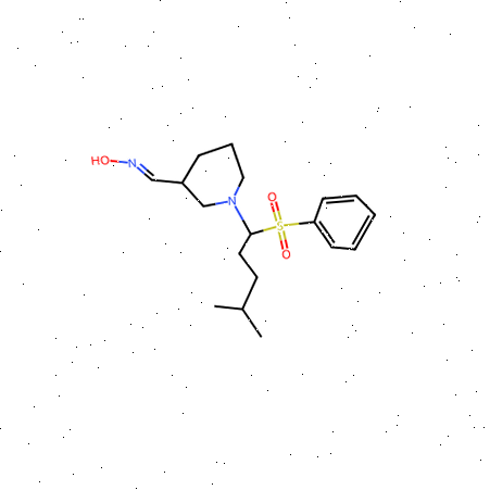 CC(C)CCC(N1CCCC(C=NO)C1)S(=O)(=O)c1ccccc1